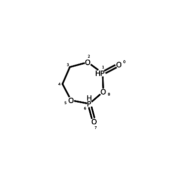 O=[PH]1OCCO[PH](=O)O1